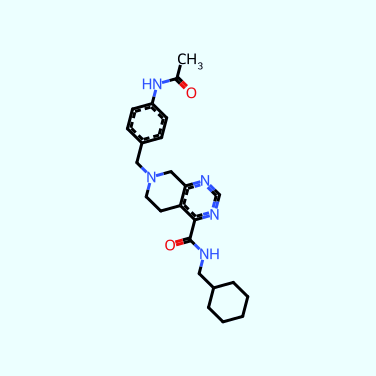 CC(=O)Nc1ccc(CN2CCc3c(ncnc3C(=O)NCC3CCCCC3)C2)cc1